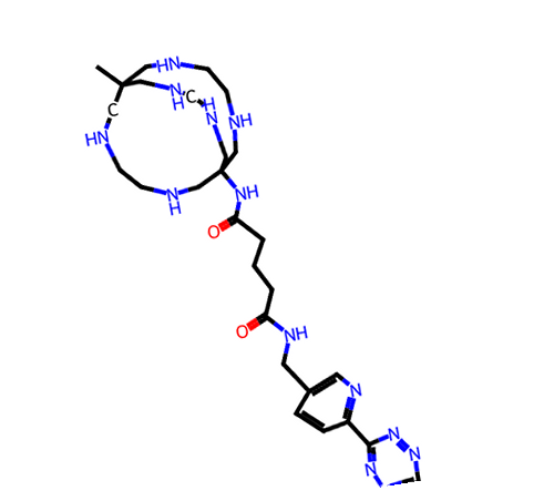 CC12CNCCNCC(NC(=O)CCCC(=O)NCc3ccc(-c4nncnn4)nc3)(CNCCNC1)CNCCNC2